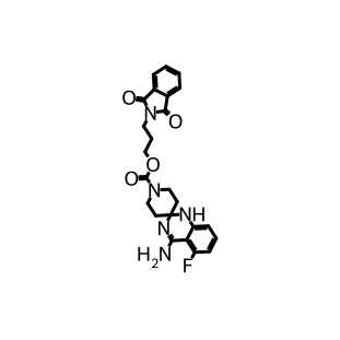 NC1=NC2(CCN(C(=O)OCCCN3C(=O)c4ccccc4C3=O)CC2)Nc2cccc(F)c21